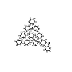 c1ccc(-c2ccc(-c3ccccc3-c3cc(-c4ccccc4-c4ccc(-c5ccccc5)nc4)cc(-c4ccccc4-c4ccc(-c5ccc6oc7ncccc7c6c5)nc4)c3)cn2)cc1